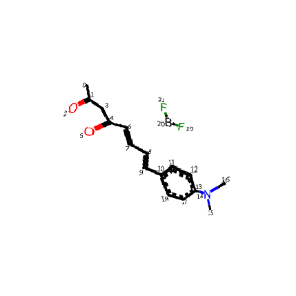 CC(=O)CC(=O)C=CC=Cc1ccc(N(C)C)cc1.F[B]F